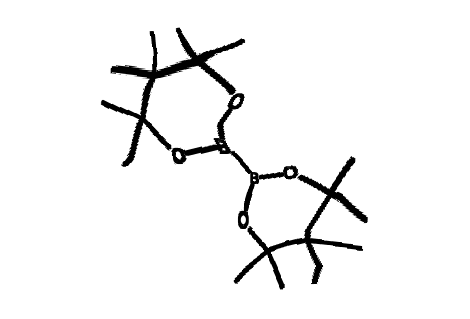 CC1(C)OB(B2OC(C)(C)C(C)(C)C(C)(C)O2)OC(C)(C)C1(C)C